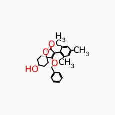 Cc1cc(C)c(C2=C(OCc3ccccc3)[C@]3(CC[C@H](O)CC3)OC2=O)c(C)c1